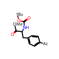 COC(=O)C(Cc1ccc(C(C)=O)cc1)NC(=O)OC(C)(C)C